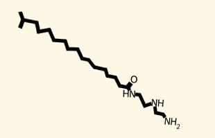 CC(C)CCCCCCCCCCCCCCC(=O)NCCNCCN